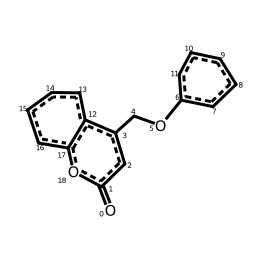 O=c1cc(COc2ccccc2)c2ccccc2o1